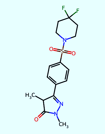 CC1C(=O)N(C)N=C1c1ccc(S(=O)(=O)N2CCC(F)(F)CC2)cc1